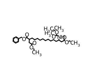 CCOC(=O)CC(CCCCCCCCCCC(CC(=O)OCC)C(=O)OCc1ccccc1)NC(=O)OC(C)(C)C